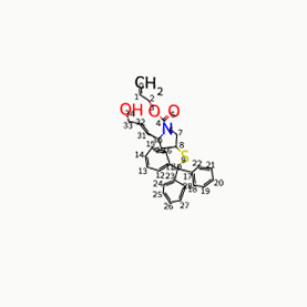 C=CCOC(=O)N1C[C@@H](SC(c2ccccc2)(c2ccccc2)c2ccccc2)C[C@H]1/C=C/CO